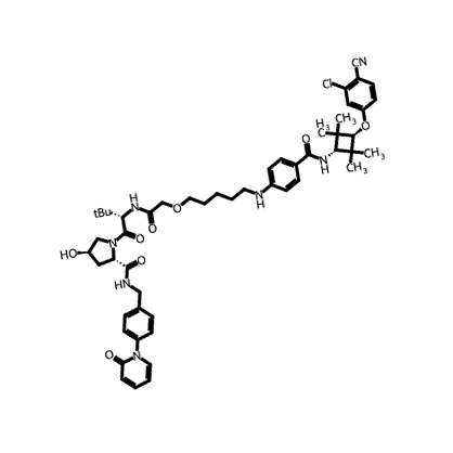 CC(C)(C)[C@H](NC(=O)COCCCCCNc1ccc(C(=O)N[C@H]2C(C)(C)[C@H](Oc3ccc(C#N)c(Cl)c3)C2(C)C)cc1)C(=O)N1C[C@H](O)C[C@H]1C(=O)NCc1ccc(-n2ccccc2=O)cc1